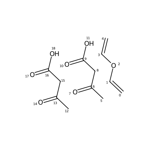 C=COC=C.CC(=O)CC(=O)O.CC(=O)CC(=O)O